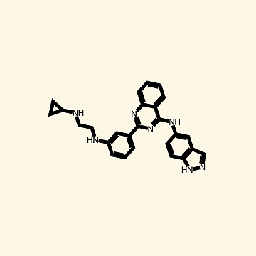 c1cc(NCCNC2CC2)cc(-c2nc(Nc3ccc4[nH]ncc4c3)c3ccccc3n2)c1